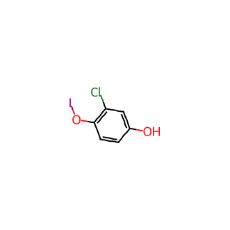 Oc1ccc(OI)c(Cl)c1